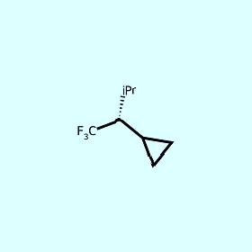 CC(C)[C@H](C1CC1)C(F)(F)F